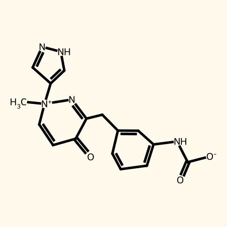 C[N+]1(c2cn[nH]c2)C=CC(=O)C(Cc2cccc(NC(=O)[O-])c2)=N1